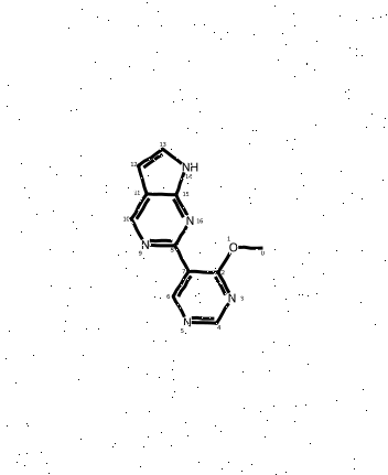 COc1ncncc1-c1ncc2cc[nH]c2n1